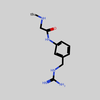 CC(C)(C)NCC(=O)Nc1cccc(CNC(=N)N)c1